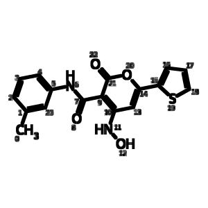 Cc1cccc(NC(=O)c2c(NO)cc(-c3cccs3)oc2=O)c1